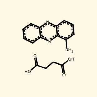 Nc1cccc2nc3ccccc3nc12.O=C(O)CCC(=O)O